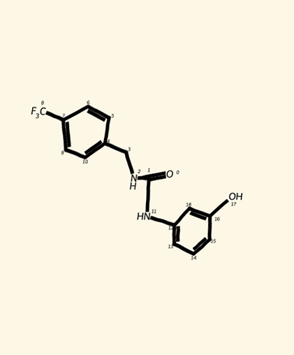 O=C(NCc1ccc(C(F)(F)F)cc1)Nc1cccc(O)c1